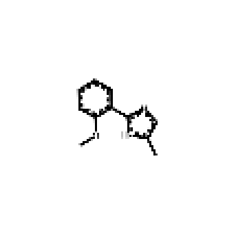 COc1ccccc1-c1ncc(C)[nH]1